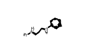 CC(C)NCCOc1c[c]ccc1